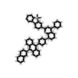 C[Si]1(C)c2ccccc2-c2ccc(-c3cc(-c4ccccc4)c4cccc(-c5ccc(-c6c7ccccc7c(-c7ccc8ccccc8c7)c7ccccc67)cc5)c4n3)cc21